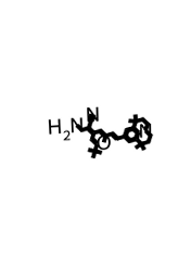 CC(C)(C)C1=C/C(=C(/C#N)CN)C=C(/C=C/c2cc3c4c(c2)C(C)(C)CCN4CCC3(C)C)O1